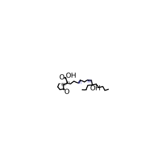 CCCCCC(O)(/C=C\C/C=C/CC[C@H](C(=O)O)[C@H]1CCCC1=O)CCC